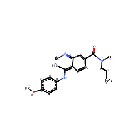 CC/N=C1/C=C(C(=O)N(C)CCNC)C=C/C1=C(/C)Nc1ccc(OC(F)(F)F)cc1